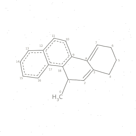 CC1C=C2CCCC=C2c2ccc3ccccc3c21